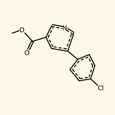 COC(=O)c1cncc(-c2ccc(Cl)cc2)c1